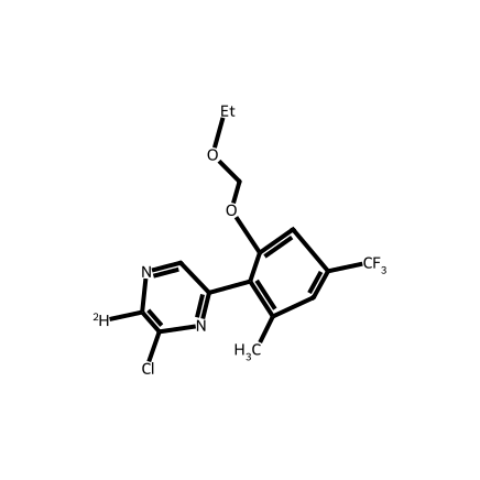 [2H]c1ncc(-c2c(C)cc(C(F)(F)F)cc2OCOCC)nc1Cl